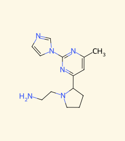 Cc1cc(C2CCCN2CCN)nc(-n2ccnc2)n1